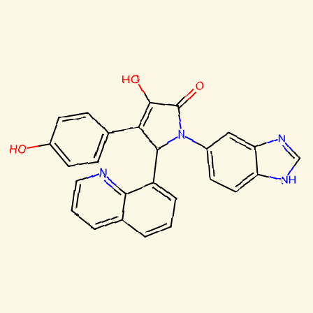 O=C1C(O)=C(c2ccc(O)cc2)C(c2cccc3cccnc23)N1c1ccc2[nH]cnc2c1